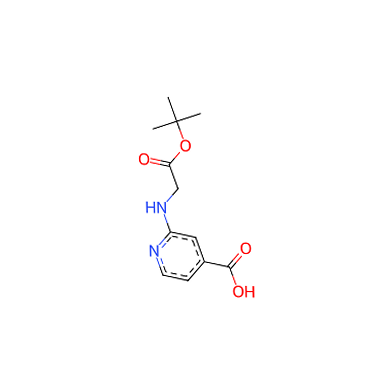 CC(C)(C)OC(=O)CNc1cc(C(=O)O)ccn1